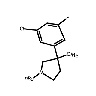 CCCCN1CCC(OC)(c2cc(F)cc(Cl)c2)C1